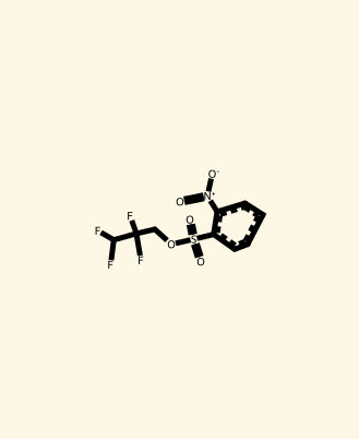 O=[N+]([O-])c1ccccc1S(=O)(=O)OCC(F)(F)C(F)F